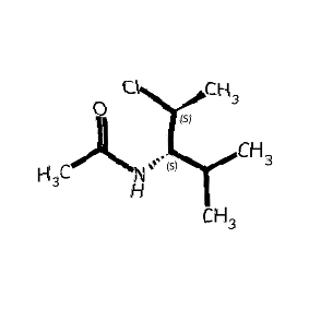 CC(=O)N[C@@H](C(C)C)[C@H](C)Cl